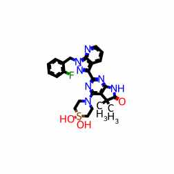 CC1(C)C(=O)Nc2nc(-c3nn(Cc4ccccc4F)c4ncccc34)nc(N3CCS(O)(O)CC3)c21